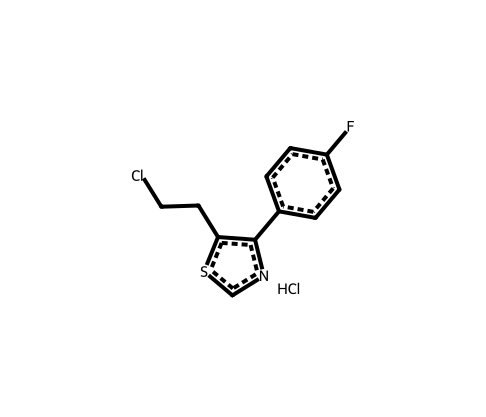 Cl.Fc1ccc(-c2ncsc2CCCl)cc1